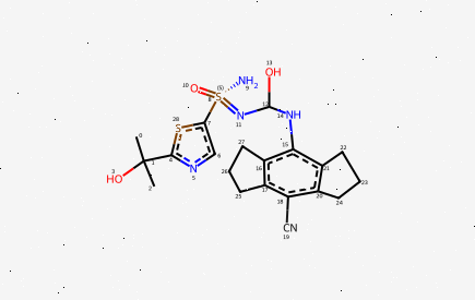 CC(C)(O)c1ncc([S@@](N)(=O)=NC(O)Nc2c3c(c(C#N)c4c2CCC4)CCC3)s1